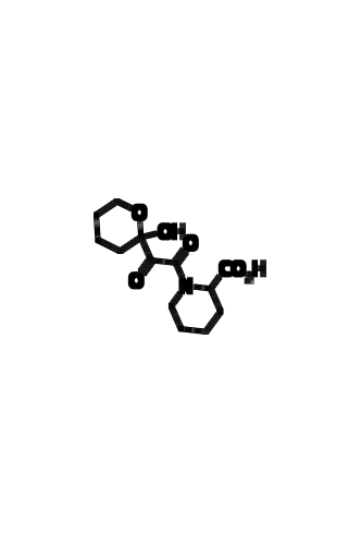 O=C(O)C1CCCCN1C(=O)C(=O)C1(O)CCCCO1